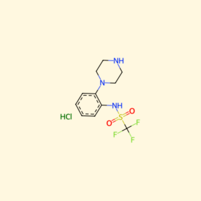 Cl.O=S(=O)(Nc1ccccc1N1CCNCC1)C(F)(F)F